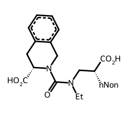 CCCCCCCCC[C@H](CN(CC)C(=O)N1Cc2ccccc2C[C@H]1C(=O)O)C(=O)O